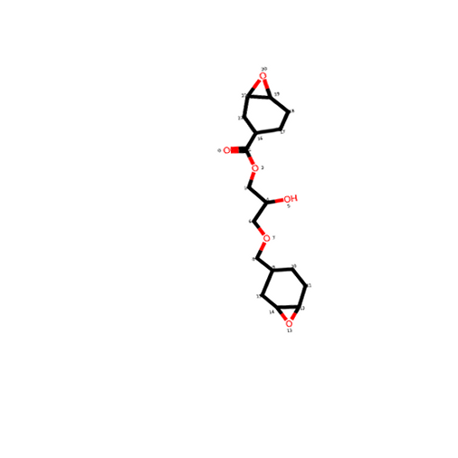 O=C(OCC(O)COCC1CCC2OC2C1)C1CCC2OC2C1